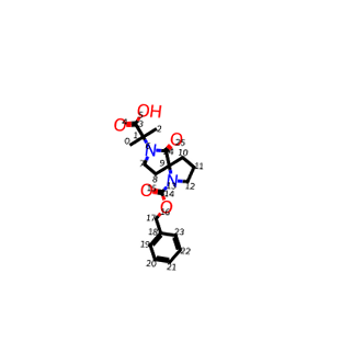 CC(C)(C(=O)O)N1CCC2(CCCN2C(=O)OCc2ccccc2)C1=O